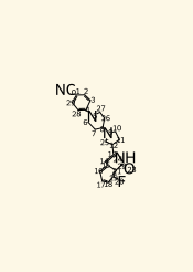 N#Cc1ccc(N2CCC(N3CCC(c4cc5cccc(F)c5c(=O)[nH]4)C3)CC2)cc1